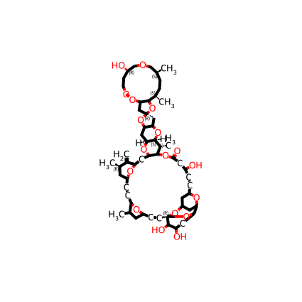 C=C1C2CC3O[C@H]4CC5O[C@@]6(CC5O[C@H]4[C@H](C)C3OC(=O)CC(O)CCC3CC4CC(O3)C3CC(O)C(O)[C@](CCC5CC(C)C(CCC(C[C@H]1C)O2)O5)(O4)O3)CC1OOCC[C@@H](O)COC[C@@H](C)CC[C@H](C)C1O6